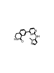 Cn1nccc1Nc1nccc(-c2ccc3c(c2)C(=O)NCC3)n1